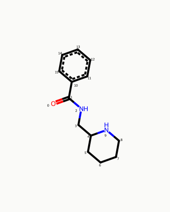 O=C(NCC1CCCCN1)c1cc[c]cc1